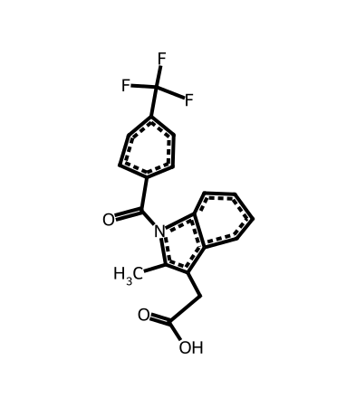 Cc1c(CC(=O)O)c2ccccc2n1C(=O)c1ccc(C(F)(F)F)cc1